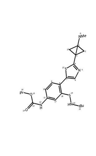 CNC12CC1(c1ncc(-c3ccc(NC(=O)OC(C)C)cc3SNC(C)(C)C)s1)C2